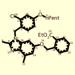 CCCCCOc1ccc(Cn2c(C)nc3c(C)cc(OCc4ccccc4C(=O)OCC)cc32)c(Cl)c1